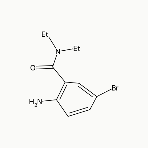 CCN(CC)C(=O)c1cc(Br)ccc1N